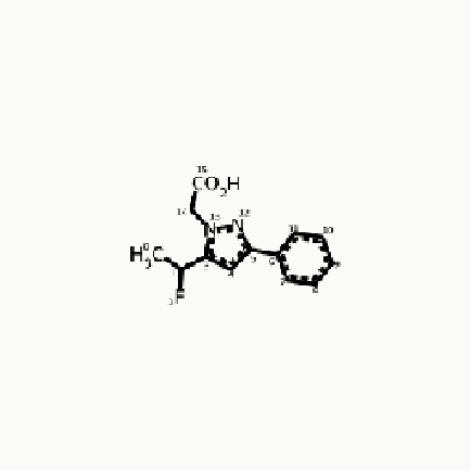 CC(F)c1cc(-c2ccccc2)nn1CC(=O)O